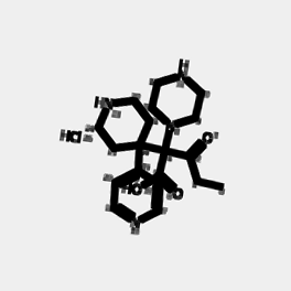 CCC(=O)C(C(=O)O)(N1CCNCC1)C1(c2ccncc2)CCNCC1.Cl